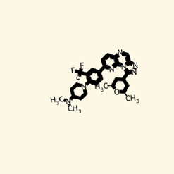 C[C@@H]1CC(c2nnc3cnc4ccc(-c5ccc(N6CCC(N(C)C)CC6)c(C(F)(F)F)c5)nc4n23)C[C@H](C)O1